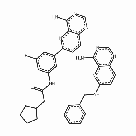 Nc1ncnc2ccc(-c3cc(F)cc(NC(=O)CC4CCCC4)c3)nc12.Nc1ncnc2ccc(NCc3ccccc3)nc12